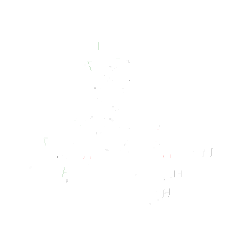 CCOC(=O)C(CC(C)C)c1cc(OCC(F)(F)F)c(Cl)c(-c2ccc(C(F)(F)F)cc2)c1